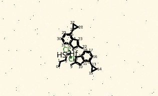 CCC[SiH]=[Hf]([Cl])([Cl])([CH]1C(C)=Cc2c(C3CC3)cccc21)[CH]1C(C)=Cc2c(C3CC3)cccc21